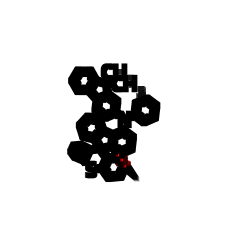 CC1(C)c2ccccc2-c2ccc(N(c3ccccc3)c3cccc4c3-c3ccccc3C43c4ccccc4Sc4ccc5ccccc5c43)cc21